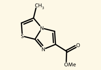 COC(=O)c1cn2c(C)csc2n1